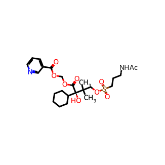 CC(=O)NCCCS(=O)(=O)OCC(C)(C)[C@@](O)(C(=O)OCOC(=O)c1cccnc1)C1CCCCC1